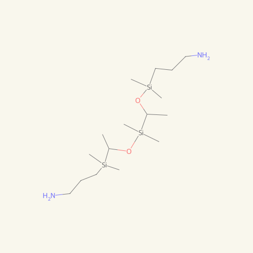 CC(O[Si](C)(C)C(C)O[Si](C)(C)CCCN)[Si](C)(C)CCCN